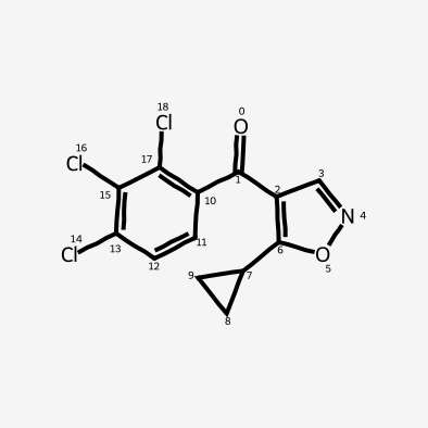 O=C(c1cnoc1C1CC1)c1ccc(Cl)c(Cl)c1Cl